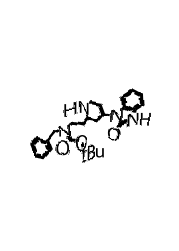 CC(C)(C)OC(=O)N(CCC1CC(n2c(=O)[nH]c3ccccc32)CCN1)Cc1ccccc1